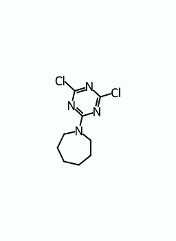 Clc1nc(Cl)nc(N2CCCCCC2)n1